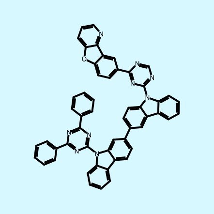 c1ccc(-c2nc(-c3ccccc3)nc(-n3c4ccccc4c4ccc(-c5ccc6c(c5)c5ccccc5n6-c5ncnc(-c6ccc7oc8cccnc8c7c6)n5)cc43)n2)cc1